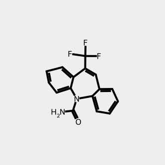 NC(=O)N1c2ccccc2C=C(C(F)(F)F)c2ccccc21